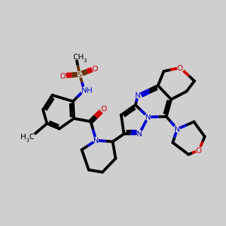 Cc1ccc(NS(C)(=O)=O)c(C(=O)N2CCCCC2c2cc3nc4c(c(N5CCOCC5)n3n2)CCOC4)c1